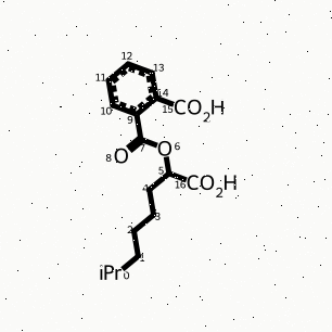 CC(C)CCCCC(OC(=O)c1ccccc1C(=O)O)C(=O)O